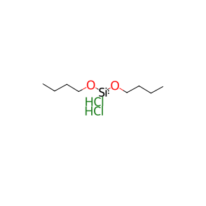 CCCCO[Si]OCCCC.Cl.Cl